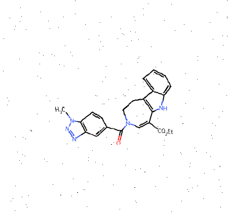 CCOC(=O)C1=CN(C(=O)c2ccc3c(c2)nnn3C)CCc2c1[nH]c1ccccc21